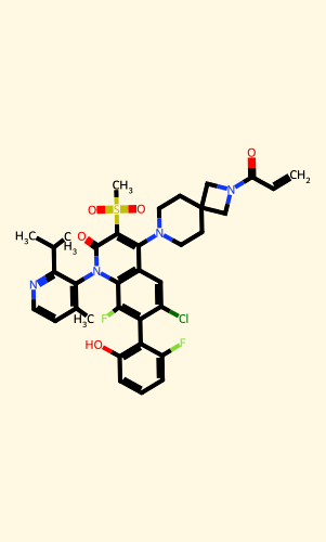 C=CC(=O)N1CC2(CCN(c3c(S(C)(=O)=O)c(=O)n(-c4c(C)ccnc4C(C)C)c4c(F)c(-c5c(O)cccc5F)c(Cl)cc34)CC2)C1